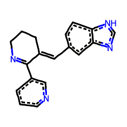 C(=C1/CCCN=C1c1cccnc1)/c1ccc2[nH]cnc2c1